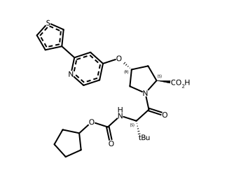 CC(C)(C)[C@H](NC(=O)OC1CCCC1)C(=O)N1C[C@H](Oc2ccnc(-c3ccsc3)c2)C[C@H]1C(=O)O